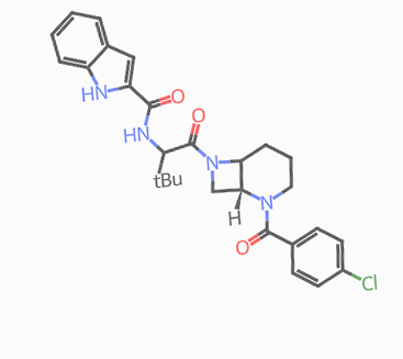 CC(C)(C)C(NC(=O)c1cc2ccccc2[nH]1)C(=O)N1C[C@@H]2C1CCCN2C(=O)c1ccc(Cl)cc1